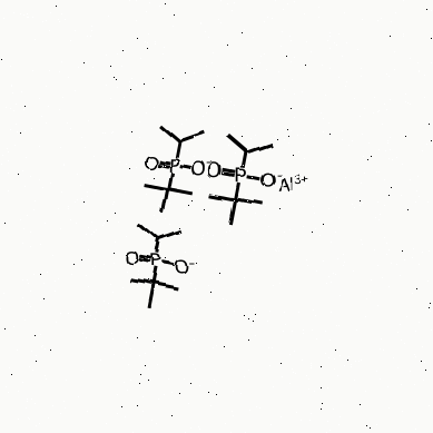 CC(C)P(=O)([O-])C(C)(C)C.CC(C)P(=O)([O-])C(C)(C)C.CC(C)P(=O)([O-])C(C)(C)C.[Al+3]